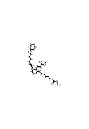 CCOC(=O)CCCCCCOc1cccc(C#CCCCCOC2CCCCO2)c1C=CC(=O)OC